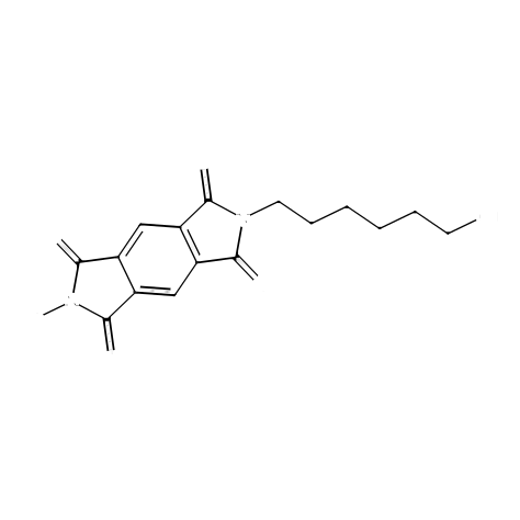 CCCCCCCn1c(=O)c2cc3c(=O)n(C)c(=O)c3cc2c1=O